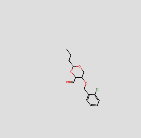 CCC[C@H]1OCC(OCc2ccccc2Cl)C(C=O)O1